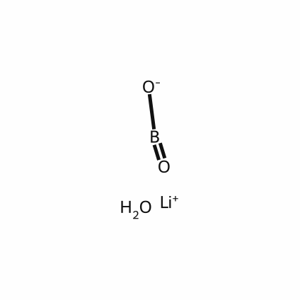 O.O=B[O-].[Li+]